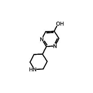 Oc1cnc(C2CCNCC2)nc1